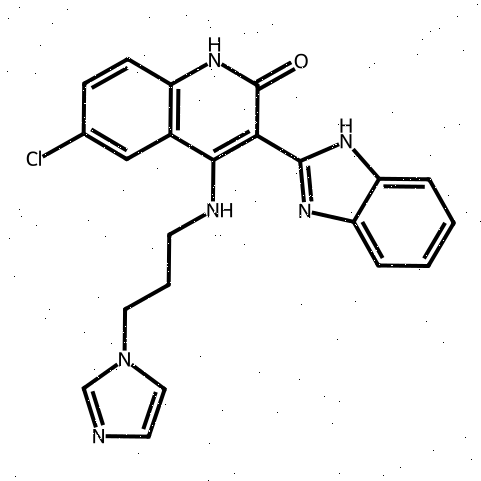 O=c1[nH]c2ccc(Cl)cc2c(NCCCn2ccnc2)c1-c1nc2ccccc2[nH]1